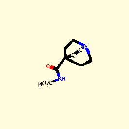 O=C(O)NC(=O)C12CCN(CC1)CC2